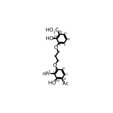 CCCc1c(OCCCOc2cccc(C(=O)O)c2O)ccc(C(C)=O)c1O